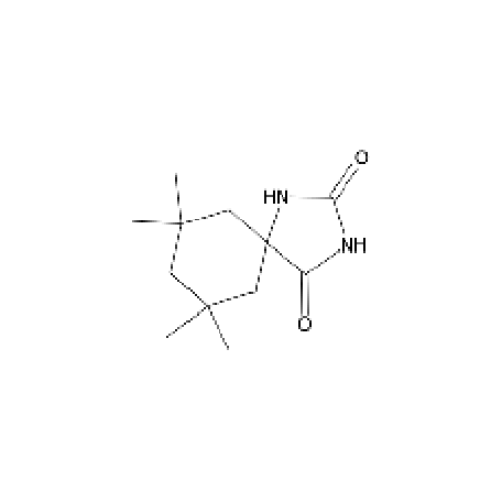 CC1(C)CC(C)(C)CC2(C1)NC(=O)NC2=O